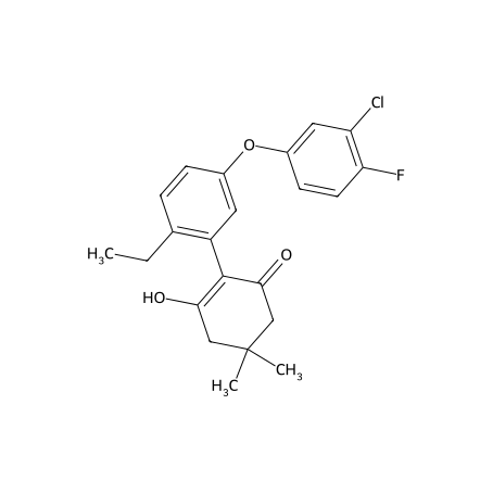 CCc1ccc(Oc2ccc(F)c(Cl)c2)cc1C1=C(O)CC(C)(C)CC1=O